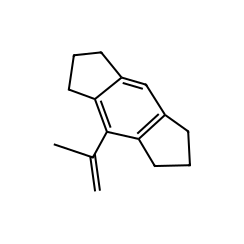 C=C(C)c1c2c(cc3c1CCC3)CCC2